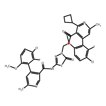 COc1ccc(Cl)c(F)c1-c1cc(C)ncc1C(=O)Nc1nn(COC(=O)c2c(-c3c(OC)ccc(Cl)c3F)cc(C)nc2C2CCC2)c(=O)s1